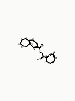 O=C(CCC(=O)c1ccc2c(c1)CCCCC2)C1=NC=CC=NC1